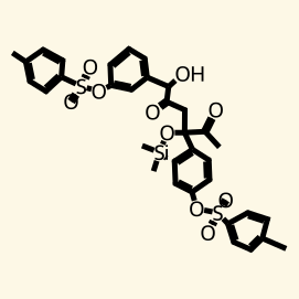 CC(=O)C(CC(=O)C(O)c1cccc(OS(=O)(=O)c2ccc(C)cc2)c1)(O[Si](C)(C)C)c1ccc(OS(=O)(=O)c2ccc(C)cc2)cc1